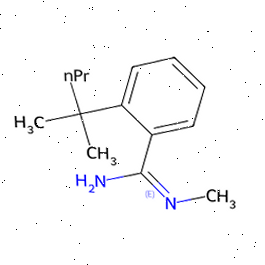 CCCC(C)(C)c1ccccc1/C(N)=N\C